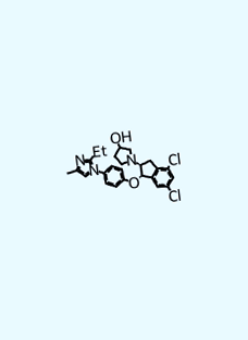 CCc1nc(C)cn1-c1ccc(O[C@H]2c3cc(Cl)cc(Cl)c3C[C@@H]2N2CCC(O)C2)cc1